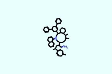 CC1=CC=C(C(C)CC(CN)C2CCC(C)C(C)C3CCCCC3C(C3C=C(c4ccccc4)CC(C4=CCCC=C4)C3)CN(C3=C4C=CCCC4CC=C3)C2)C=CC1